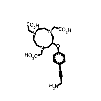 NCC#Cc1ccc(OC2CN(CC(=O)O)CCN(CC(=O)O)CCN(CC(=O)O)C2)cc1